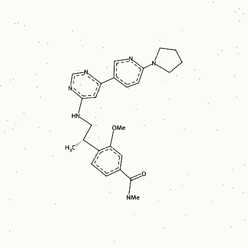 CNC(=O)c1ccc([C@H](C)CNc2cc(-c3ccc(N4CCCC4)nc3)ncn2)c(OC)c1